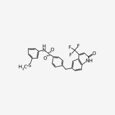 CSc1cccc(NS(=O)(=O)c2ccc(Cc3ccc4[nH]c(=O)cc(C(F)(F)F)c4c3)cc2)c1